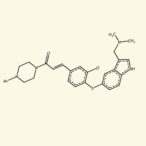 CC(=O)N1CCN(C(=O)/C=C/c2ccc(Sc3ccc4[nH]cc(CN(C)C)c4c3)c(Cl)c2)CC1